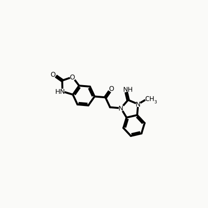 Cn1c(=N)n(CC(=O)c2ccc3[nH]c(=O)oc3c2)c2ccccc21